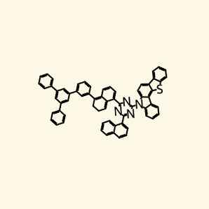 C1=c2c(-c3nc(-c4cccc5ccccc45)nc(-n4c5ccccc5c5c6sc7ccccc7c6ccc54)n3)cccc2=C(c2cccc(-c3cc(-c4ccccc4)cc(-c4ccccc4)c3)c2)CC1